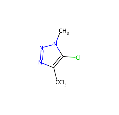 Cn1nnc(C(Cl)(Cl)Cl)c1Cl